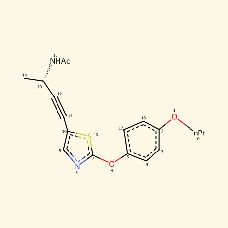 CCCOc1ccc(Oc2ncc(C#C[C@H](C)NC(C)=O)s2)cc1